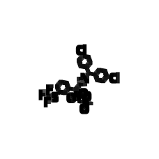 CS(=O)(=O)CS(=O)(=O)C(=C1CN(C(c2ccc(Cl)cc2)c2ccc(Cl)cc2)C1)c1cccc(SC(F)(F)F)c1